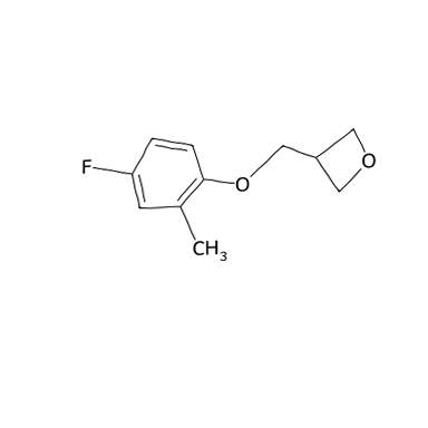 Cc1cc(F)ccc1OCC1COC1